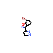 Brc1cccc2c(-c3cccnn3)noc12